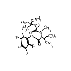 CC(C)[C@@H](C(=O)Oc1c(F)c(F)c(F)c(F)c1F)N(C)C(=O)OC(C)(C)C